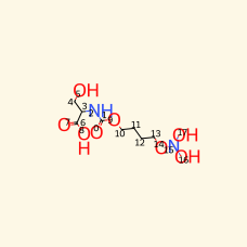 O=C(NC(CO)C(=O)O)OCCCCON(O)O